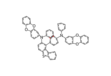 c1ccc(N(c2ccc(-c3c(N(c4ccccc4)c4ccc5c(c4)Oc4ccccc4O5)ccc4sc5ccccc5c34)cc2)c2ccc3c(c2)Oc2ccccc2O3)cc1